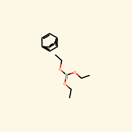 CCO[SiH](OCC)OCC.c1cc2ccc1cc2